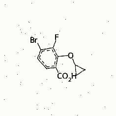 O=C(O)c1ccc(Br)c(F)c1OC1CC1